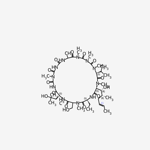 C/C=C/C[C@@H](C)[C@@H](O)[C@H]1C(=O)N[C@@H](CC)C(=O)N(C)C(CO)C(=O)N(C)[C@@H](CC(C)(C)O)C(=O)NC(=O)N(C)C(=O)NC(=O)NC(C)C(=O)N(C)C(=O)N(C)C(=O)N(C)[C@@H](C(C)C)C(=O)N1C